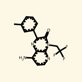 Cc1cccc(-c2nc3c(N)ccnc3n(CC(F)(F)F)c2=O)c1